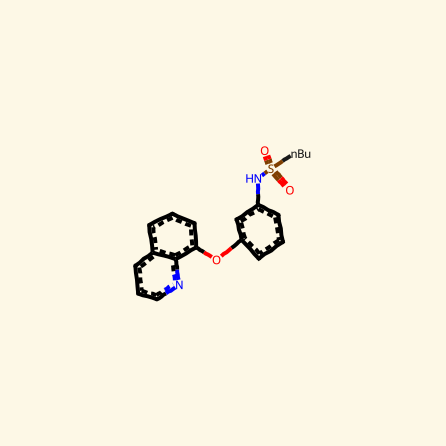 CCCCS(=O)(=O)Nc1cccc(Oc2cccc3cccnc23)c1